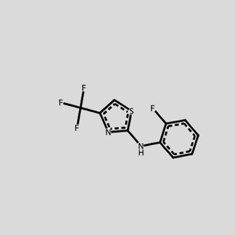 Fc1ccccc1Nc1nc(C(F)(F)F)cs1